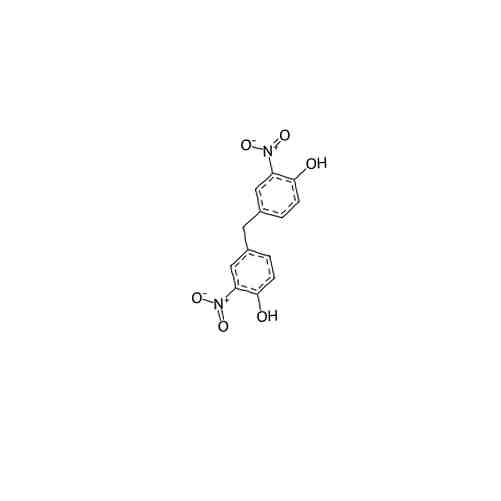 O=[N+]([O-])c1cc(Cc2ccc(O)c([N+](=O)[O-])c2)ccc1O